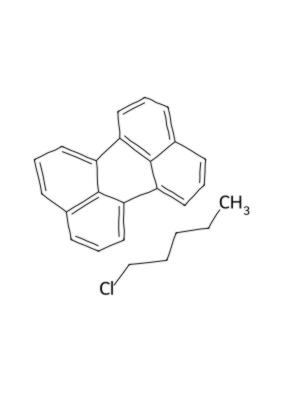 CCCCCCl.c1cc2cccc3c4cccc5cccc(c(c1)c23)c54